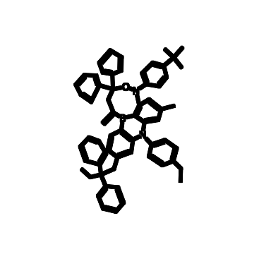 C=C1CC(c2ccccc2)(c2ccccc2)ON(c2ccc(C(C)(C)C)cc2)c2cc(C)cc3c2B1c1ccc(CC(CC)(c2ccccc2)c2ccccc2)cc1N3c1ccc(CC)cc1